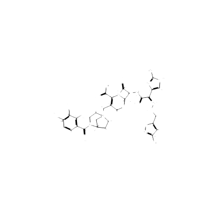 Nc1nc(/C(=N/OCc2cc(O)no2)C(=O)N[C@@H]2C(=O)N3C(C(=O)O)=C(C[N@@+]45CC[C@@H](C4)N(C(=O)c4ccc(O)c(O)c4Cl)CC5)CS[C@H]23)cs1